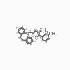 CN1C=CCC(C(=O)N(C)CCCN2c3ccccc3CCc3ccccc32)=C1